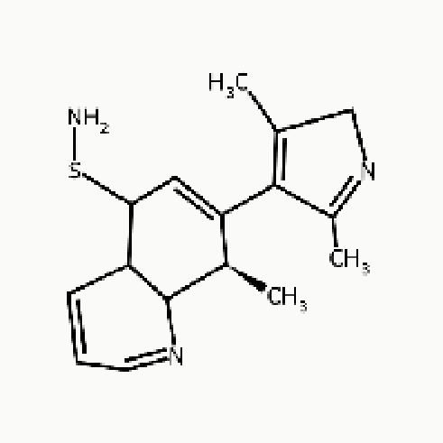 CC1=NCC(C)=C1C1=CC(SN)C2C=CC=NC2[C@@H]1C